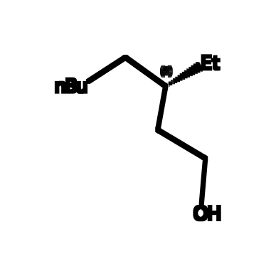 CCCCC[C@H](CC)CCO